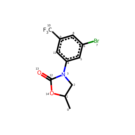 CC1CN(c2cc(Br)cc(C(F)(F)F)c2)C(=O)O1